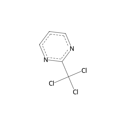 ClC(Cl)(Cl)c1ncccn1